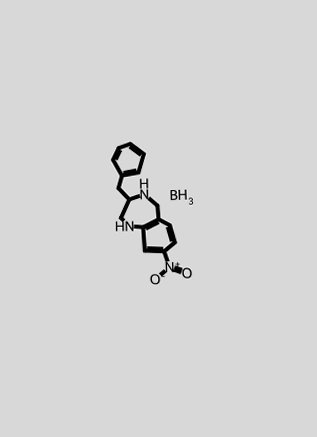 B.O=[N+]([O-])c1ccc2c(c1)NCC(Cc1ccccc1)NC2